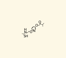 CC(S)NCCOc1ccc(OCC(=O)C(C)C)cn1